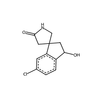 O=C1CC2(CN1)CC(O)c1ccc(Cl)cc12